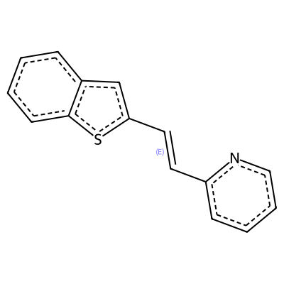 C(=C\c1cc2ccccc2s1)/c1ccccn1